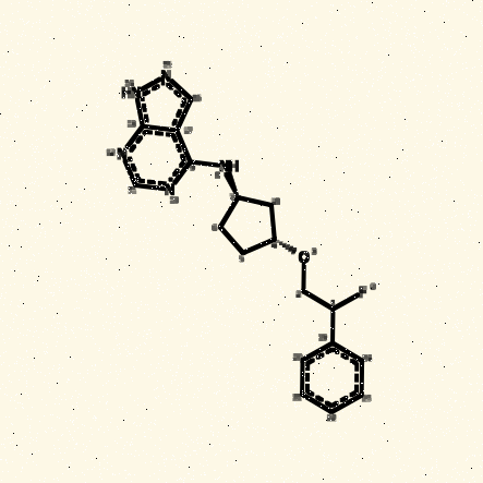 FC(CO[C@@H]1CC[C@@H](Nc2ncnc3[nH]ncc23)C1)c1ccccc1